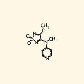 COC1=NS(=O)(=O)N=C1N(C)c1ccncc1